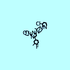 Cc1cc(-c2cc(N3CCN(c4ncccc4Cl)CC3C)nc(N3CCOCC3)n2)ccc1F